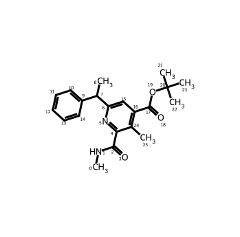 CNC(=O)c1nc(C(C)c2ccccc2)cc(C(=O)OC(C)(C)C)c1C